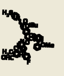 COc1ccccc1-c1nccc(COc2ccc(CN(CCN3CCN(C)CC3)C(=O)OC(C)(C)C)cc2CC(Oc2ncnc3c2C=C(c2ccc(F)cc2)[SH]3c2ccc(C=O)c(C)c2C)C(=O)O)n1